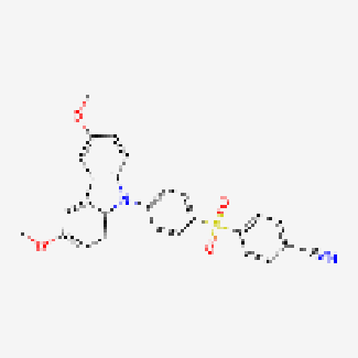 COc1ccc2c(c1)c1cc(OC)ccc1n2-c1ccc(S(=O)(=O)c2ccc(C#N)cc2)cc1